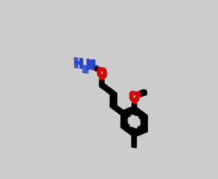 COc1ccc(C)cc1C=CCON